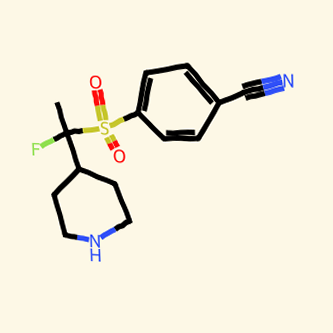 CC(F)(C1CCNCC1)S(=O)(=O)c1ccc(C#N)cc1